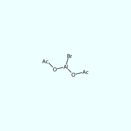 CC(=O)[O][Al]([Br])[O]C(C)=O